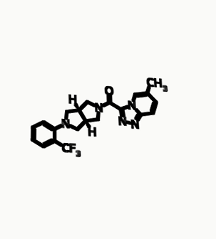 Cc1ccc2nnc(C(=O)N3C[C@@H]4CN(c5ccccc5C(F)(F)F)C[C@@H]4C3)n2c1